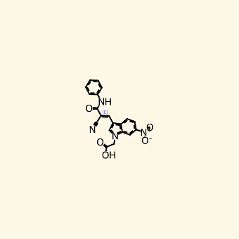 N#C/C(=C\c1cn(CC(=O)O)c2cc([N+](=O)[O-])ccc12)C(=O)Nc1ccccc1